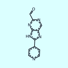 O=Cc1ncc2nc(-c3ccncc3)[nH]c2n1